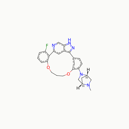 CN1C[C@@H]2C[C@H]1CN2c1ccc2cc1OCCCOc1cccc(F)c1-c1cc3c-2n[nH]c3cn1